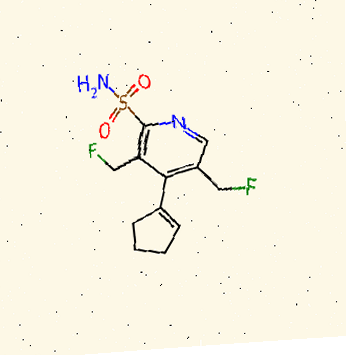 NS(=O)(=O)c1ncc(CF)c(C2=CCCC2)c1CF